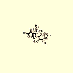 Cc1c(-c2[nH]c3sc(Br)c(C)c3c2C(C)C)cn2ncnc2c1C